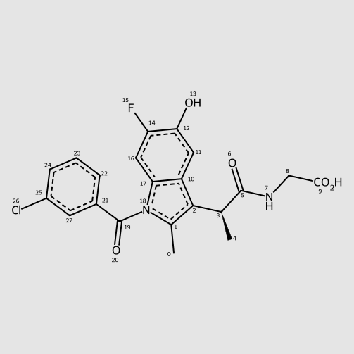 Cc1c([C@H](C)C(=O)NCC(=O)O)c2cc(O)c(F)cc2n1C(=O)c1cccc(Cl)c1